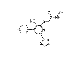 CC(C)NC(=O)CSc1nc(-c2cccs2)cc(-c2ccc(F)cc2)c1C#N